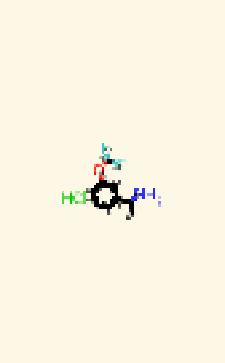 CC(N)c1cccc(OC(F)F)c1.Cl